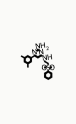 Cc1cc(C)cc(-c2cc(NCCS(=O)(=O)c3ccccc3)nc(N)n2)c1